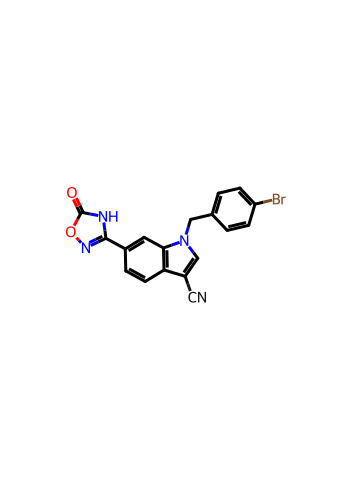 N#Cc1cn(Cc2ccc(Br)cc2)c2cc(-c3noc(=O)[nH]3)ccc12